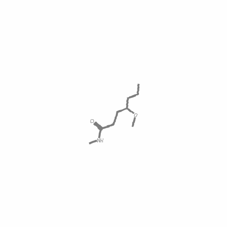 CCCC(CCC(=O)NC)OC